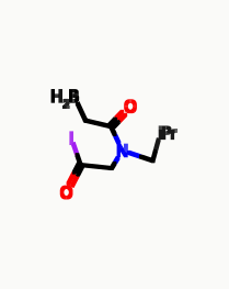 BCC(=O)N(CC(=O)I)CC(C)C